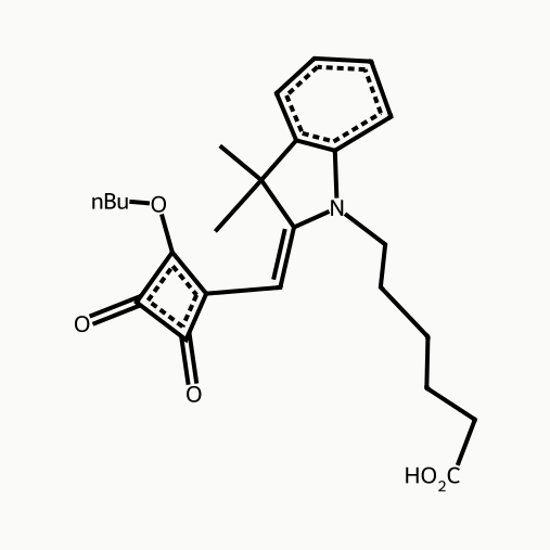 CCCCOc1c(C=C2N(CCCCCC(=O)O)c3ccccc3C2(C)C)c(=O)c1=O